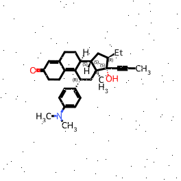 CC#C[C@]1(O)[C@H](CC)C[C@H]2[C@@H]3CCC4=CC(=O)CCC4=C3[C@@H](c3ccc(N(C)C)cc3)C[C@@]21C